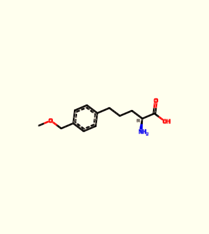 COCc1ccc(CCC[C@H](N)C(=O)O)cc1